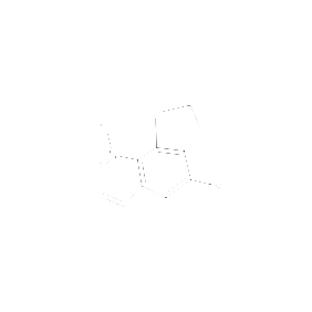 O=Cc1cc(Br)c2c(c1[N+](=O)[O-])OCO2